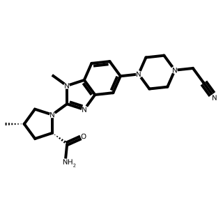 C[C@H]1C[C@@H](C(N)=O)N(c2nc3cc(N4CCN(CC#N)CC4)ccc3n2C)C1